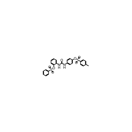 Cc1ccc(S(=O)(=O)Oc2ccc(NC(=O)Nc3ccccc3OS(=O)(=O)c3ccccc3)cc2)cc1